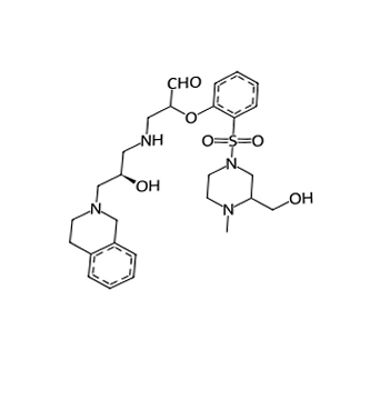 CN1CCN(S(=O)(=O)c2ccccc2OC(C=O)CNC[C@@H](O)CN2CCc3ccccc3C2)CC1CO